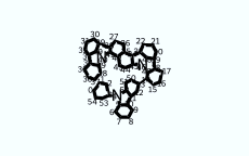 c1ccc(-n2c3ccccc3c3cc(-c4cccc5c6cccc7c8c9ccc%10c%11cccc%12c%13ccccc%13n(c%10c9ccc8n(c45)c67)c%12%11)ccc32)cc1